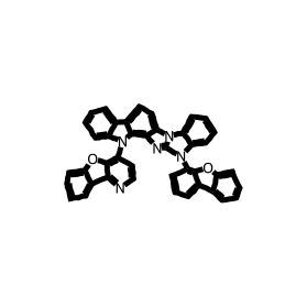 c1ccc2c(c1)oc1c(-n3c4ccccc4n4c5ccc6c7ccccc7n(-c7ccnc8c7oc7ccccc78)c6c5nc34)cccc12